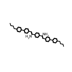 CCCCc1ccc(-c2ccc(C=C(N)c3ccc(C(N)=Cc4ccc(-c5ccc(CCCC)cc5)cc4)cc3)cc2)cc1